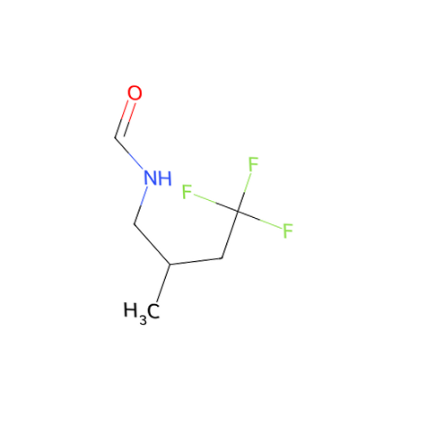 CC(CNC=O)CC(F)(F)F